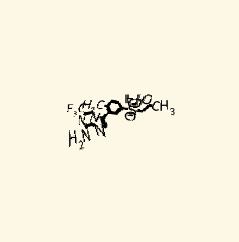 Cc1ccc(S(=O)(=O)CC(C)O)cc1-c1cnc2c(N)nc(C(F)(F)F)cn12